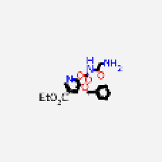 CCOC(=O)c1cnc(OC(=O)NC(=O)CN)c(OCc2ccccc2)c1